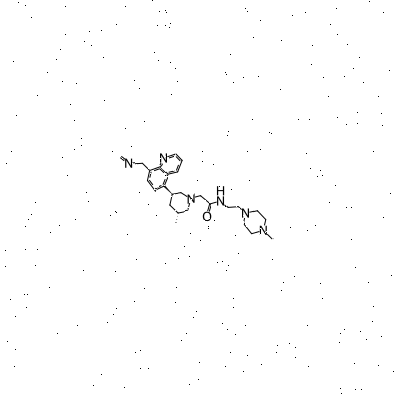 C=NCc1ccc([C@@H]2C[C@@H](C)CN(CC(=O)NCCN3CCN(C)CC3)C2)c2cccnc12